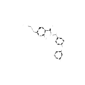 COCCc1ccc(C(=O)NCc2ccc(Oc3ccccc3)cc2)c(N)n1